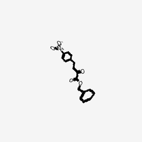 O=C(CCc1ccc([N+](=O)[O-])cc1)C(=O)OCc1ccccc1